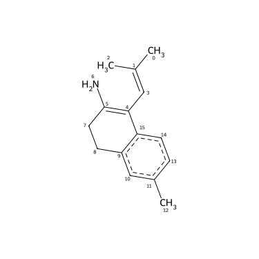 CC(C)=CC1=C(N)CCc2cc(C)ccc21